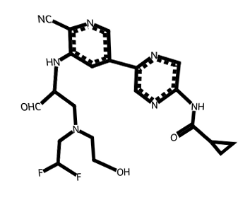 N#Cc1ncc(-c2cnc(NC(=O)C3CC3)cn2)cc1NC(C=O)CN(CCO)CC(F)F